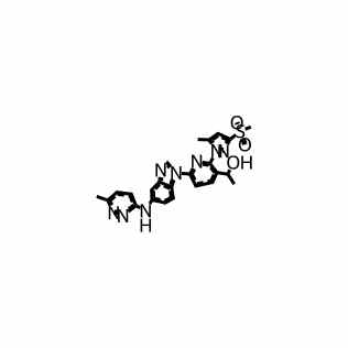 Cc1ccc(Nc2ccc3c(c2)ncn3-c2ccc(C(C)O)c(-n3nc(S(C)(=O)=O)cc3C)n2)nn1